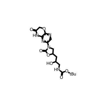 CC(C)(C)OC(=O)NCC(O)CC1CN(c2cnc3c(n2)NC(=O)CO3)C(=O)O1